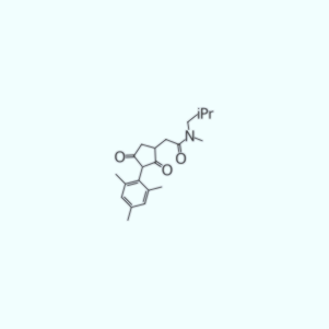 Cc1cc(C)c(C2C(=O)CC(CC(=O)N(C)CC(C)C)C2=O)c(C)c1